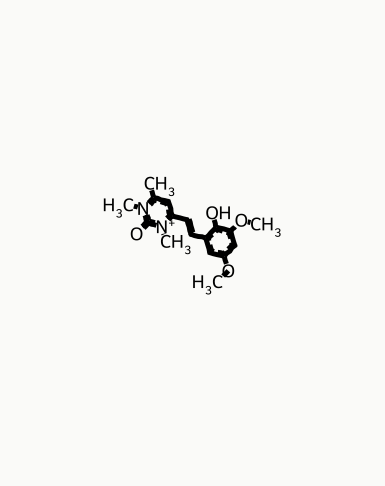 COc1cc(C=Cc2cc(C)n(C)c(=O)[n+]2C)c(O)c(OC)c1